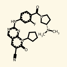 CN(C)[C@H]1CCN(C(=O)c2ccc(Nc3ncc4cc(C#N)c(=O)n(C5CCCC5)c4n3)cc2F)C1